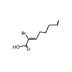 CCCCCC=C(Br)C(=O)O